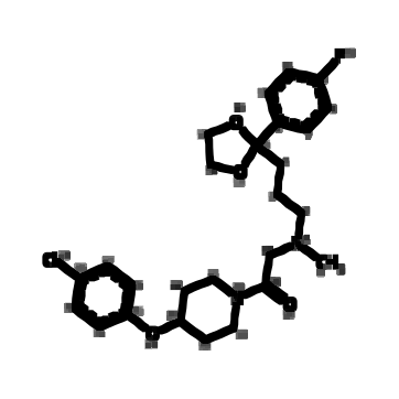 CN(CCCC1(c2ccc(F)cc2)OCCO1)CC(=O)N1CCC(Oc2ccc(Cl)cc2)CC1